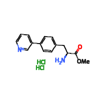 COC(=O)[C@@H](N)Cc1ccc(-c2cccnc2)cc1.Cl.Cl